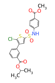 COC(=O)c1ccc(NS(=O)(=O)c2cc(-c3cccc(C(=O)OC(C)C)c3)c(Cl)s2)cc1